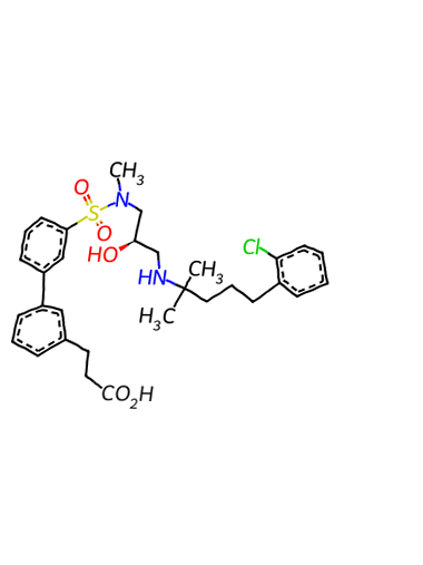 CN(C[C@H](O)CNC(C)(C)CCCc1ccccc1Cl)S(=O)(=O)c1cccc(-c2cccc(CCC(=O)O)c2)c1